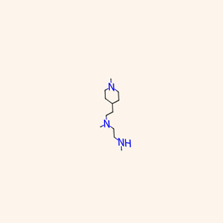 CNCCN(C)CCC1CCN(C)CC1